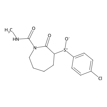 CNC(=O)N1CCCCC([S+]([O-])c2ccc(Cl)cc2)C1=O